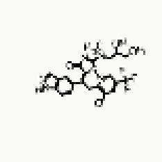 CN(CC(O)CO)C1=NC(=O)C(=C(Cc2ncc(C(F)(F)F)cc2Cl)c2ccc3[nH]ncc3c2)S1